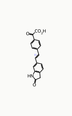 O=C1Cc2ccc(/C=C/c3ccc(C(=O)C(=O)O)cc3)cc2N1